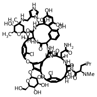 CN[C@H](CC(C)C)C(=O)N[C@H]1C(=O)N[C@@H](CC(N)=O)C(=O)N[C@H]2C(=O)NC3C(=O)N[C@H](C(=O)N[C@@H](C(=O)O)c4cc(O)cc(O)c4-c4cc3ccc4O)[C@H](OC3C[C@](C)(NCc4c[nH]cn4)[C@@H](O)[C@H](C)O3)c3ccc(c(Cl)c3)Oc3cc2cc(c3O[C@@H]2O[C@H](CO)[C@@H](O)[C@H](O)[C@H]2O)Oc2ccc(cc2Cl)[C@H]1O